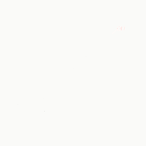 CC=C(Cc1ccc(O)cc1)c1ccc2c(c1)C(C)(C)CCC2(C)C